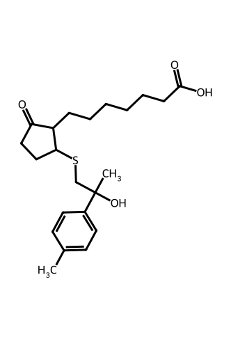 Cc1ccc(C(C)(O)CSC2CCC(=O)C2CCCCCCC(=O)O)cc1